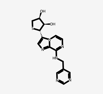 O[C@@H]1[C@H](O)CS[C@H]1c1cnc2c(NCc3cncnc3)nccn12